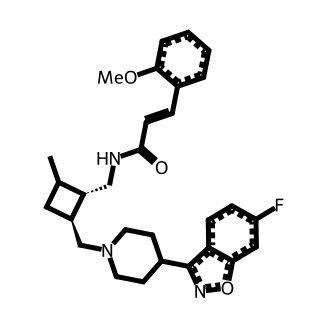 COc1ccccc1/C=C/C(=O)NC[C@H]1C(C)C[C@@H]1CN1CCC(c2noc3cc(F)ccc23)CC1